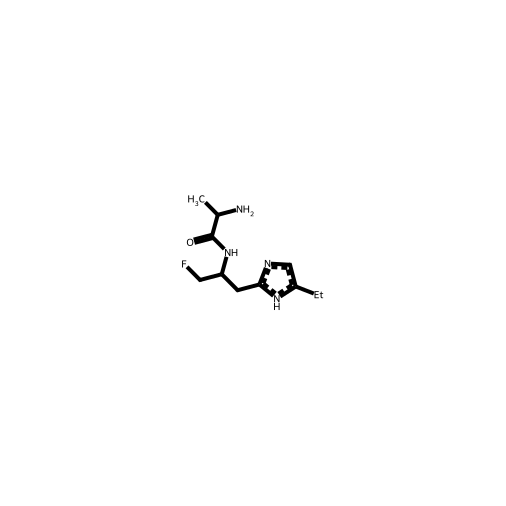 CCc1cnc(CC(CF)NC(=O)C(C)N)[nH]1